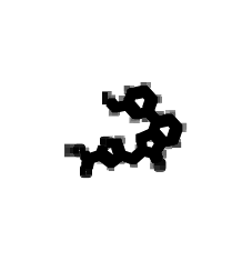 O=C(O)c1cc(CC2Cc3c(cccc3-c3cccc(CF)c3)C2=O)cs1